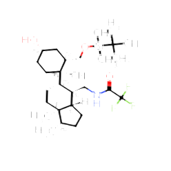 C[C@H]1CC[C@H]2[C@H](CNC(=O)C(F)(F)F)[C@@H]([C@@]3(C)CC[C@H](O)C[C@@H]3CO[Si](C)(C)C(C)(C)C)CC[C@]12C